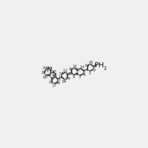 Pc1ccc(-c2ccc3cc(-c4ccc(-c5cccc6c5sc5ncccc56)cc4)ccc3c2)cc1